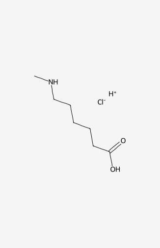 CNCCCCCC(=O)O.[Cl-].[H+]